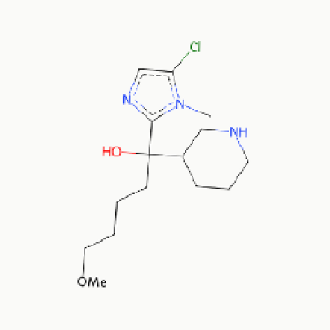 COCCCCC(O)(c1ncc(Cl)n1C)C1CCCNC1